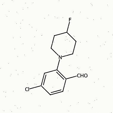 O=Cc1ccc(Cl)cc1N1CCC(F)CC1